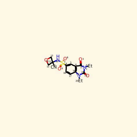 CCn1c(=O)c2cc(S(=O)(=O)NC3(C#N)COC3)ccc2n(CC)c1=O